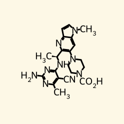 Cc1nc(N)nc(N[C@@H](C)c2nc3ccn(C)c3cc2N2CCN(C(=O)O)CC2)c1C#N